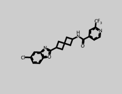 O=C(NC1CC2(C1)CC(c1nc3cc(Cl)ccc3o1)C2)c1ccnc(C(F)(F)F)c1